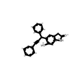 O=C1Cc2cc(C(C#Cc3ccccc3)c3ccccc3)c(O)cc2N1